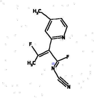 CC(F)=C(/C(F)=N/C#N)c1cc(C)ccn1